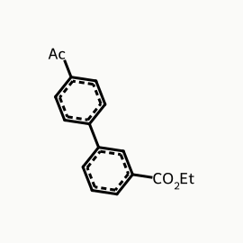 CCOC(=O)c1cccc(-c2ccc(C(C)=O)cc2)c1